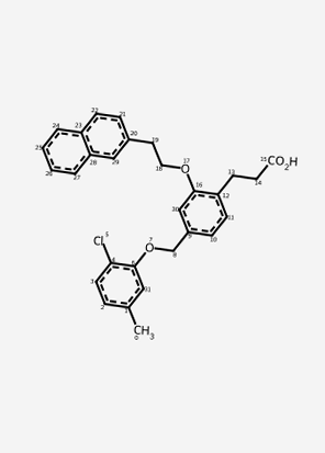 Cc1ccc(Cl)c(OCc2ccc(CCC(=O)O)c(OCCc3ccc4ccccc4c3)c2)c1